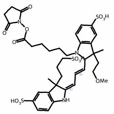 COCCC1(C)c2cc(S(=O)(=O)O)ccc2N(CCCCCC(=O)ON2C(=O)CCC2=O)C1/C=C/C=C1/Nc2ccc(S(=O)(=O)O)cc2C1(C)CCCS(=O)(=O)O